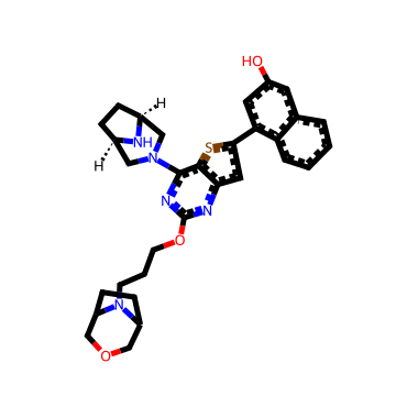 Oc1cc(-c2cc3nc(OCCCN4C5CCC4COC5)nc(N4C[C@H]5CC[C@@H](C4)N5)c3s2)c2ccccc2c1